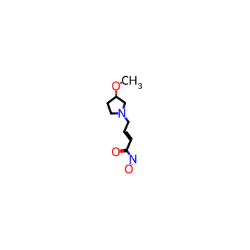 CO[C@@H]1CCN(C/C=C/C(=O)N=O)C1